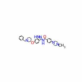 CN1CCN(c2ccc(C(=O)Nc3n[nH]c4cc(OC5CCCN(Cc6ccccc6)C5)ccc34)cc2)CC1